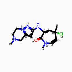 CN1CCn2nc(NC3=CC(C)(Cl)C#CN(C)C3=O)cc2C1